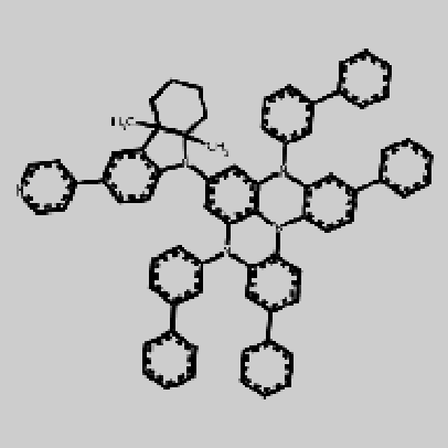 CC12CCCCC1(C)N(c1cc3c4c(c1)N(c1cccc(-c5ccccc5)c1)c1cc(-c5ccccc5)ccc1B4c1ccc(-c4ccccc4)cc1N3c1cccc(-c3ccccc3)c1)c1ccc(-c3ccncc3)cc12